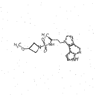 C=C(CCn1cnc2cnc3[nH]ccc3c21)NS(=O)(=O)N1CC(OC)C1